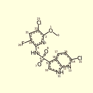 COc1nc(NS(=O)(=O)c2c[nH]c3nc(Cl)ccc23)c(F)cc1Cl